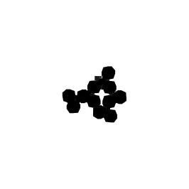 C1=CC2c3cc(-n4c5ccccc5c5ccccc54)ccc3N(c3ccc4c(c3)n3c5cc(-n6c7ccccc7c7cc(-n8c9ccccc9c9ccccc98)ccc76)ccc5nc3n4C3=CCCC=C3)C2C=C1